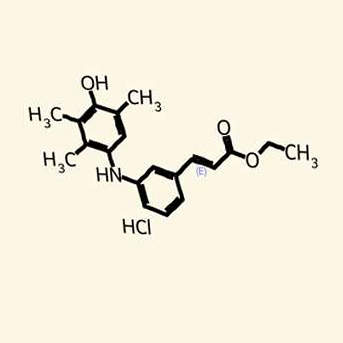 CCOC(=O)/C=C/c1cccc(Nc2cc(C)c(O)c(C)c2C)c1.Cl